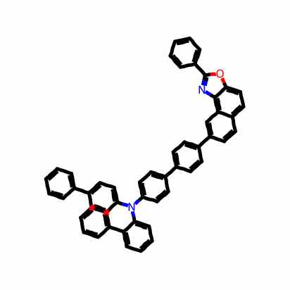 c1ccc(-c2ccc(N(c3ccc(-c4ccc(-c5ccc6ccc7oc(-c8ccccc8)nc7c6c5)cc4)cc3)c3ccccc3-c3ccccc3)cc2)cc1